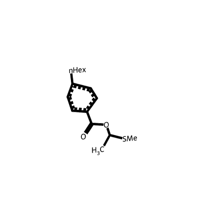 CCCCCCc1ccc(C(=O)OC(C)SC)cc1